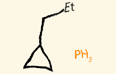 CCCC1CC1.P